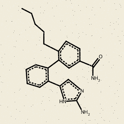 CCCCCc1ccc(C(N)=O)cc1-c1ccccc1-c1cnc(N)[nH]1